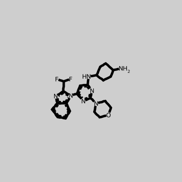 NC1CCC(Nc2cc(-n3c(C(F)F)nc4ccccc43)nc(N3CCOCC3)n2)CC1